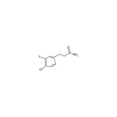 NC(=O)CCc1ccc(Cl)c(F)c1